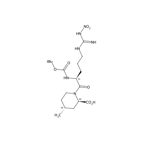 C[C@@H]1CCN(C(=O)[C@H](CCCNC(=N)N[N+](=O)[O-])NC(=O)OC(C)(C)C)[C@@H](C(=O)O)C1